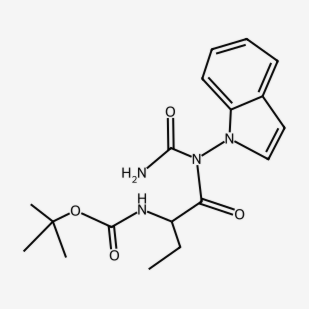 CCC(NC(=O)OC(C)(C)C)C(=O)N(C(N)=O)n1ccc2ccccc21